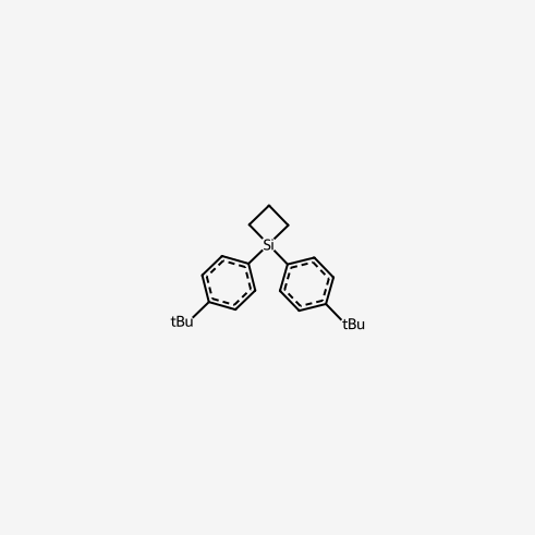 CC(C)(C)c1ccc([Si]2(c3ccc(C(C)(C)C)cc3)CCC2)cc1